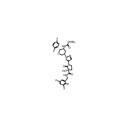 CC(C)(C)OC(=O)N[C@H]1C[C@@H](n2ncc(N3CC[C@](O)(C(=O)NCc4cc(F)cc(F)c4F)C3=O)n2)CO[C@@H]1c1cc(F)ccc1F